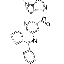 Cn1cc(-c2ncc(N=C(c3ccccc3)c3ccccc3)cc2C=O)c2c(Cl)ncnc21